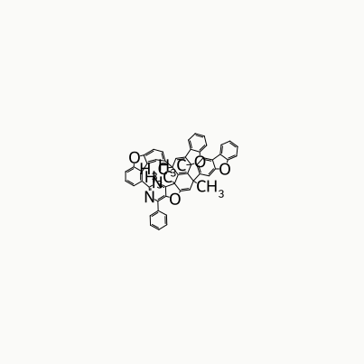 CC12Oc3ccccc3C1=CC1(C)C3=C2C(C)(c2ccc4c(c2)oc2ccccc24)C=C2Oc4c(-c5ccccc5)nc(nc4C23C)-c2cccc3oc4ccc1cc4c23